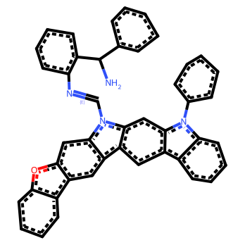 NC(c1ccccc1)c1ccccc1/N=C/n1c2cc3oc4ccccc4c3cc2c2cc3c4ccccc4n(-c4ccccc4)c3cc21